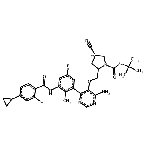 Cc1c(NC(=O)c2ccc(C3CC3)cc2F)cc(F)cc1-c1ncnc(N)c1OCC1C[C@@H](C#N)CN1C(=O)OC(C)(C)C